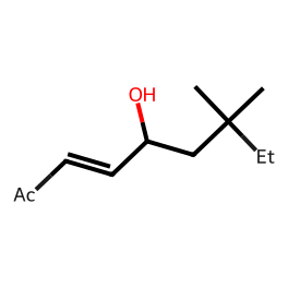 CCC(C)(C)CC(O)C=CC(C)=O